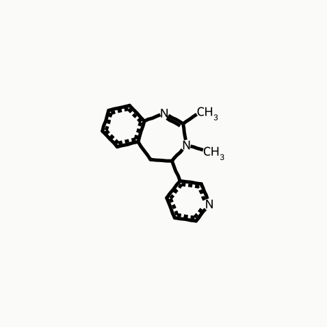 CC1=Nc2ccccc2CC(c2cccnc2)N1C